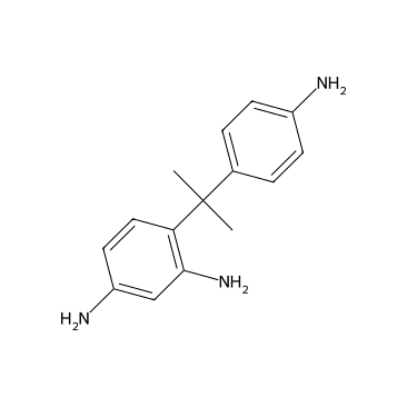 CC(C)(c1ccc(N)cc1)c1ccc(N)cc1N